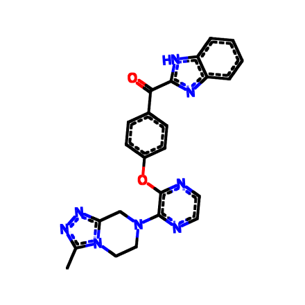 Cc1nnc2n1CCN(c1nccnc1Oc1ccc(C(=O)c3nc4ccccc4[nH]3)cc1)C2